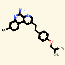 C=C(C)COc1ccc(CCc2cnc3c(N)nc4cc(C)ccc4c3c2)cc1